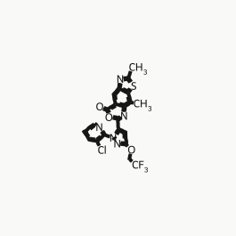 Cc1nc2cc3c(=O)oc(-c4cc(OCC(F)(F)F)nn4-c4ncccc4Cl)nc3c(C)c2s1